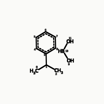 CC(C)c1ccccc1.OBO